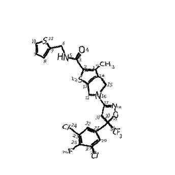 Cc1c(C(=O)NCc2cccs2)sc2c1CN(C1=NOC(c3cc(Cl)c(F)c(Cl)c3)(C(F)(F)F)C1)C2